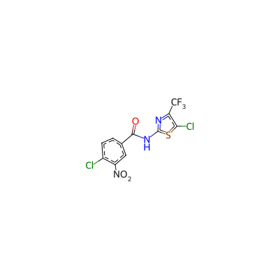 O=C(Nc1nc(C(F)(F)F)c(Cl)s1)c1ccc(Cl)c([N+](=O)[O-])c1